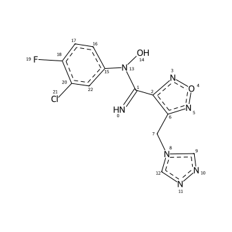 N=C(c1nonc1Cn1cnnc1)N(O)c1ccc(F)c(Cl)c1